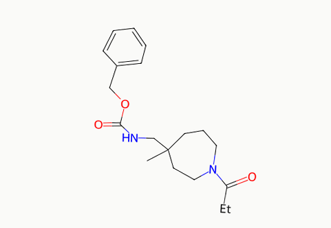 CCC(=O)N1CCCC(C)(CNC(=O)OCc2ccccc2)CC1